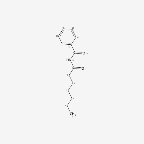 CCCCCCC(=O)NC(=O)c1ccccc1